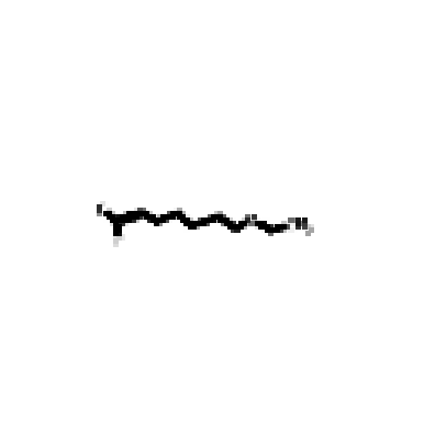 C[CH]OCCCCCC=C(F)F